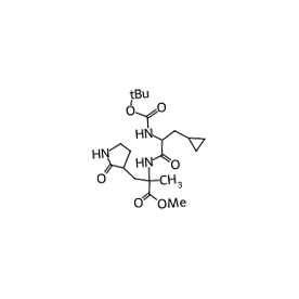 COC(=O)C(C)(CC1CCNC1=O)NC(=O)C(CC1CC1)NC(=O)OC(C)(C)C